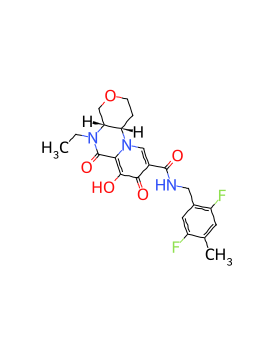 CCN1C(=O)c2c(O)c(=O)c(C(=O)NCc3cc(F)c(C)cc3F)cn2[C@H]2CCOC[C@H]21